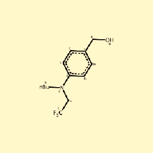 CCCCN(CC(F)(F)F)c1ccc(CO)cc1